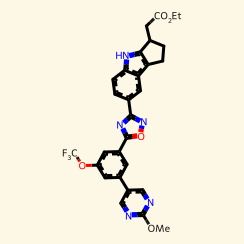 CCOC(=O)CC1CCc2c1[nH]c1ccc(-c3noc(-c4cc(OC(F)(F)F)cc(-c5cnc(OC)nc5)c4)n3)cc21